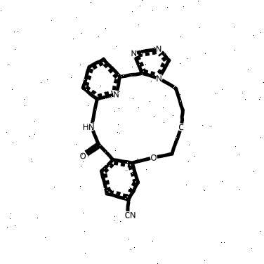 N#Cc1ccc2c(c1)OCCCCn1cnnc1-c1cccc(n1)NC2=O